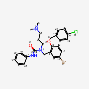 CN(C)CCCN(Cc1cc(Br)ccc1OCc1ccc(Cl)cc1)C(=O)Nc1ccccc1